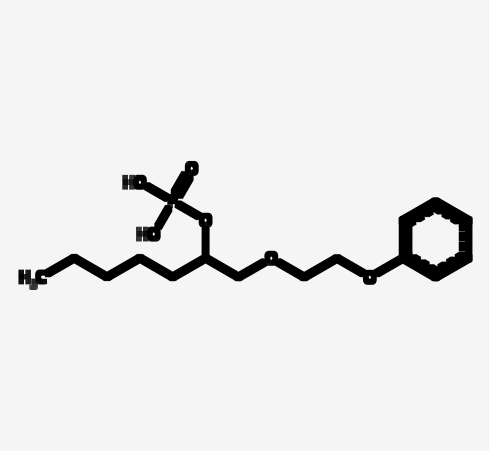 CCCCCC(COCCOc1ccccc1)OP(=O)(O)O